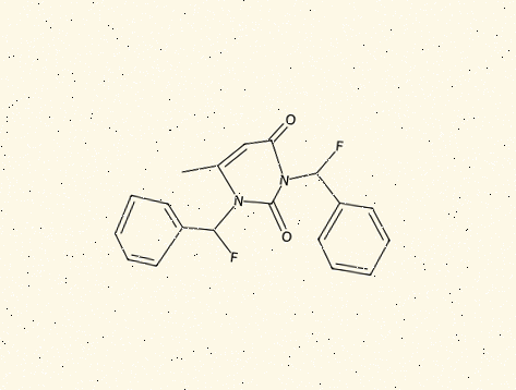 Cc1cc(=O)n(C(F)c2ccccc2)c(=O)n1C(F)c1ccccc1